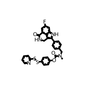 CN(Cc1ccc(-c2[nH]c3cc(F)cc4c3c2CNC4=O)cc1)C(=O)Oc1ccc(SSc2ccccn2)cc1